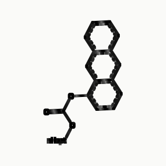 CCCCCCCOC(=O)Oc1cccc2cc3ccccc3cc12